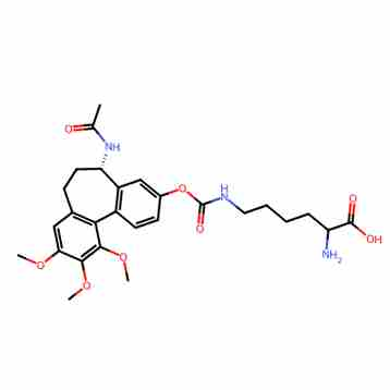 COc1cc2c(c(OC)c1OC)-c1ccc(OC(=O)NCCCCC(N)C(=O)O)cc1[C@@H](NC(C)=O)CC2